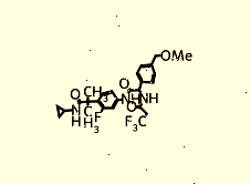 COCc1ccc(C(NC(=O)CC(F)(F)F)C(=O)Nc2ccc(C(C)(C)C(=O)NC3CC3)c(F)c2)cc1